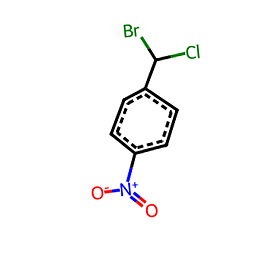 O=[N+]([O-])c1ccc(C(Cl)Br)cc1